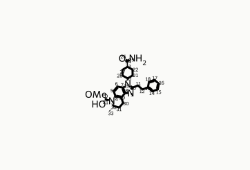 COC(O)N1c2ccc3c(nc(CCc4ccccc4)n3[C@H]3CC[C@H](C(N)=O)CC3)c2CC[C@@H]1C